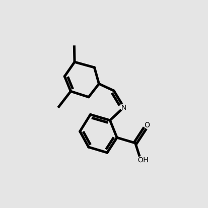 CC1=CC(C)CC(/C=N\c2ccccc2C(=O)O)C1